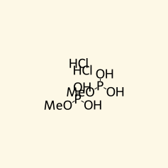 COP(O)O.COP(O)O.Cl.Cl